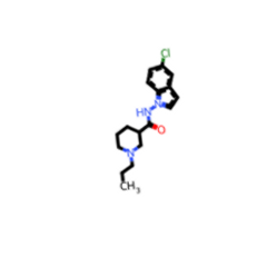 CCCN1CCCC(C(=O)Nn2ccc3cc(Cl)ccc32)C1